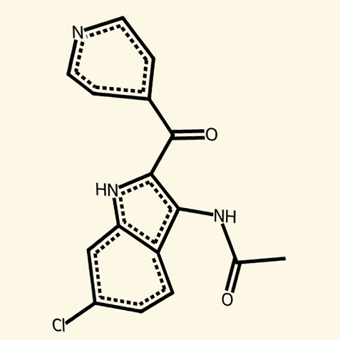 CC(=O)Nc1c(C(=O)c2ccncc2)[nH]c2cc(Cl)ccc12